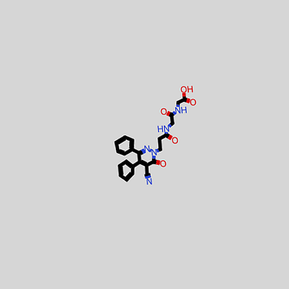 N#Cc1c(-c2ccccc2)c(-c2ccccc2)nn(CCC(=O)NCC(=O)NCC(=O)O)c1=O